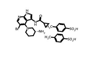 Cc1ccc(S(=O)(=O)O)cc1.Cc1ccc(S(=O)(=O)O)cc1.N[C@@H]1CCCN(c2c(Br)cnc3[nH]cc(NC(=O)C4CC4)c23)C1